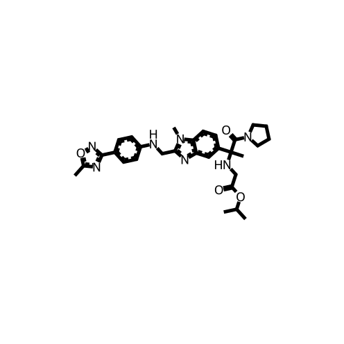 Cc1nc(-c2ccc(NCc3nc4cc(C(C)(NCC(=O)OC(C)C)C(=O)N5CCCC5)ccc4n3C)cc2)no1